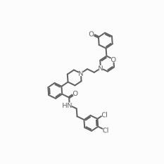 O=C1C=CC=C(C2=CN(CCN3CCC(c4ccccc4C(=O)NCCc4ccc(Cl)c(Cl)c4)CC3)C=CO2)C1